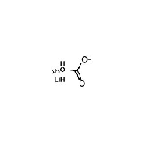 O=C(O)O.[LiH].[Nb]